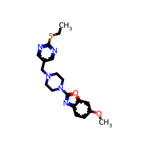 CCSc1ncc(CN2CCN(c3nc4ccc(OC)cc4o3)CC2)cn1